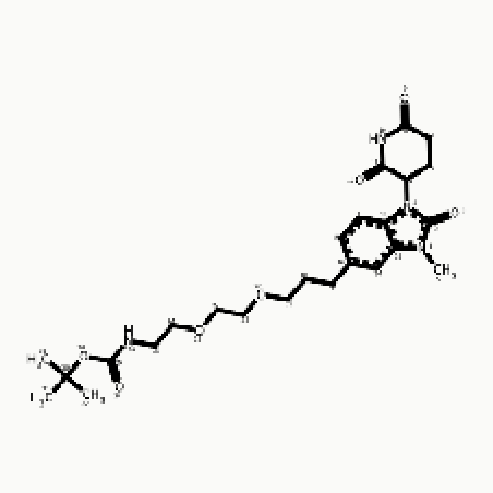 Cn1c(=O)n(C2CCC(=O)NC2=O)c2ccc(CCCOCCOCCNC(=O)OC(C)(C)C)cc21